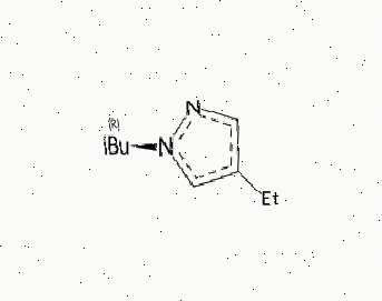 CCc1cnn([C@H](C)CC)c1